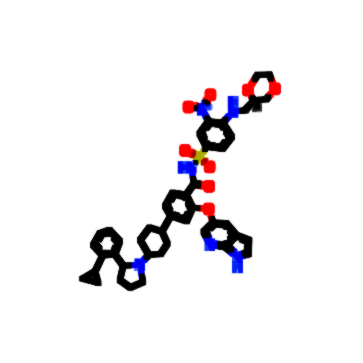 O=C(NS(=O)(=O)c1ccc(NC[C@@H]2COCCO2)c([N+](=O)[O-])c1)c1ccc(C2CCC(N3CCCC3c3ccccc3C3CC3)CC2)cc1Oc1cnc2[nH]ccc2c1